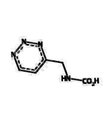 O=C(O)NCc1ccnnn1